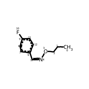 CCCO/N=[C]\c1ccc(F)cc1